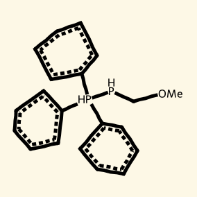 COCP[PH](c1ccccc1)(c1ccccc1)c1ccccc1